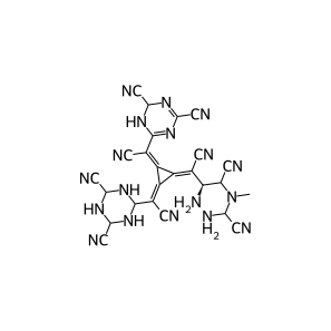 CN(C(N)C#N)C(C#N)[C@@H](N)/C(C#N)=C1/C(=C(C#N)C2=NC(C#N)=NC(C#N)N2)/C1=C(/C#N)C1NC(C#N)NC(C#N)N1